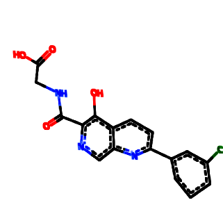 O=C(O)CNC(=O)c1ncc2nc(-c3cccc(Cl)c3)ccc2c1O